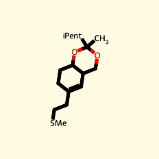 CCCC(C)C1(C)OCC2C=C(CCSC)CCC2O1